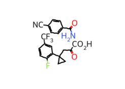 N#Cc1ccc(C(N)=O)cc1.O=C(O)C(=O)CC1(c2cc(C(F)(F)F)ccc2F)CC1